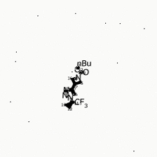 CCCCOC(=O)N1CC(c2cn(C3(C(F)(F)F)CC3)nn2)C1